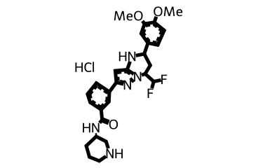 COc1ccc(C2CC(C(F)F)n3nc(-c4cccc(C(=O)N[C@H]5CCCNC5)c4)cc3N2)cc1OC.Cl